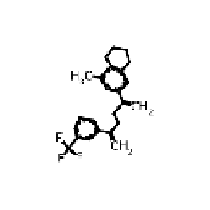 C=C(CCC(=C)c1cc(C)c2c(c1)CCCC2)c1cccc(C(F)(F)F)c1